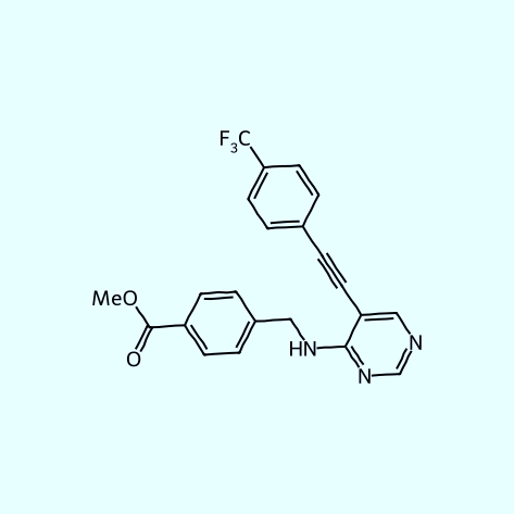 COC(=O)c1ccc(CNc2ncncc2C#Cc2ccc(C(F)(F)F)cc2)cc1